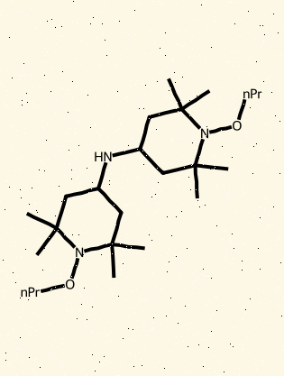 CCCON1C(C)(C)CC(NC2CC(C)(C)N(OCCC)C(C)(C)C2)CC1(C)C